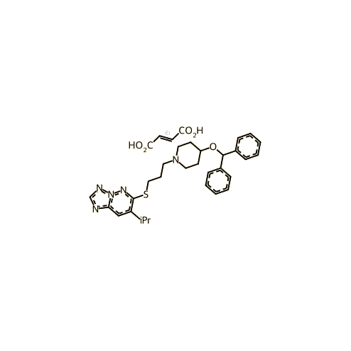 CC(C)c1cc2ncnn2nc1SCCCN1CCC(OC(c2ccccc2)c2ccccc2)CC1.O=C(O)/C=C/C(=O)O